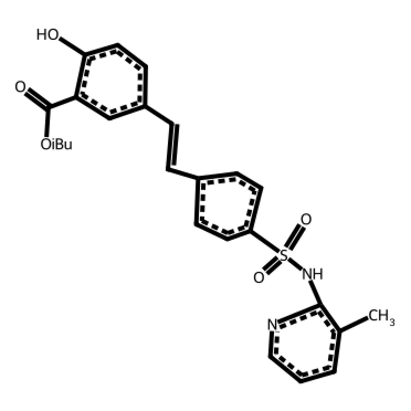 Cc1cccnc1NS(=O)(=O)c1ccc(/C=C/c2ccc(O)c(C(=O)OCC(C)C)c2)cc1